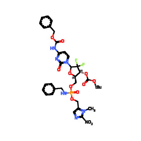 Cn1c(COP(=O)(NCc2ccccc2)OC[C@H]2OC(n3ccc(NC(=O)OCc4ccccc4)nc3=O)C(F)(F)[C@@H]2OC(=O)OC(C)(C)C)cnc1[N+](=O)[O-]